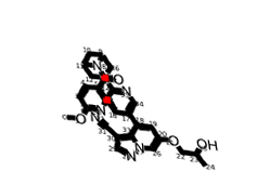 COc1ccc(C(=O)N2C3CC2CN(c2ccc(-c4cc(OCC(C)O)cn5ncc(C#N)c45)cn2)C3)cn1